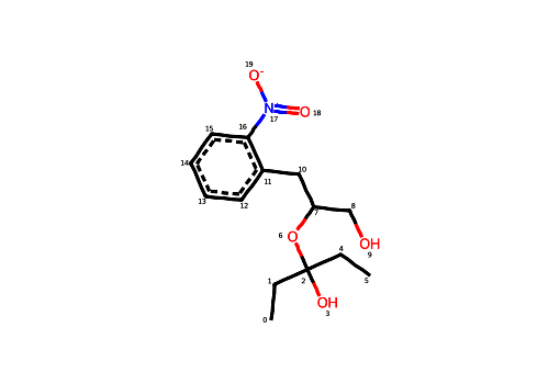 CCC(O)(CC)OC(CO)Cc1ccccc1[N+](=O)[O-]